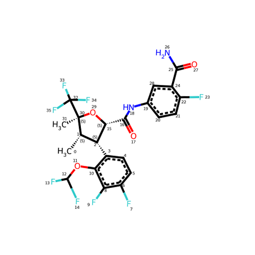 C[C@H]1[C@@H](c2ccc(F)c(F)c2OC(F)F)[C@@H](C(=O)Nc2ccc(F)c(C(N)=O)c2)O[C@]1(C)C(F)(F)F